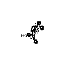 O=C(NC(C(=O)NC1C(=O)N2C(C(=O)OC(c3ccccc3)c3ccccc3)=CCS[C@@H]12)c1ccc(O)cc1)OCc1ccccc1